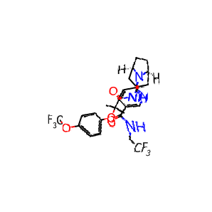 CC(C)(Oc1ccc(OC(F)(F)F)cc1)C(=O)N[C@H]1C[C@H]2CC[C@@H](C1)N2c1ccc(C(=O)NCC(F)(F)F)cn1